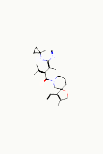 C=CC1=C(C)COC12CCCN(C(=O)C(=C(C)C)/C(C)=C(/N=C)NC1(C)CC1)C2